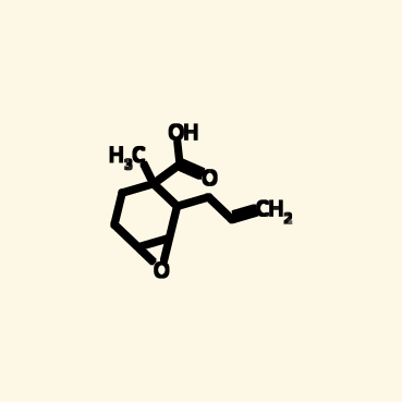 C=CCC1C2OC2CCC1(C)C(=O)O